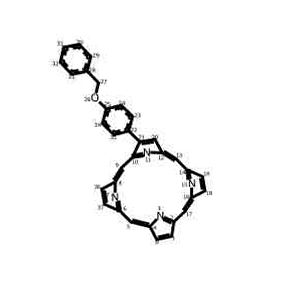 C1=CC2=NC1=CC1=NC(=CC3=NC(=CC4=NC(=C2)C=C4)C=C3c2ccc(OCc3ccccc3)cc2)C=C1